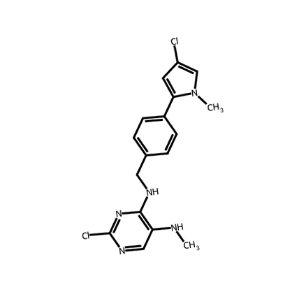 CNc1cnc(Cl)nc1NCc1ccc(-c2cc(Cl)cn2C)cc1